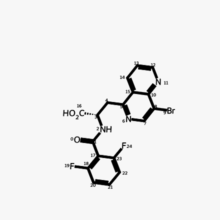 O=C(N[C@@H](Cc1ncc(Br)c2ncccc12)C(=O)O)c1c(F)cccc1F